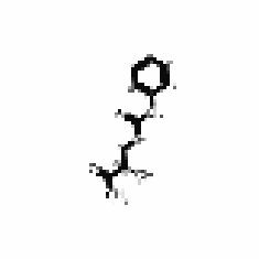 CC(=O)[C@H](O)CSC(=S)Oc1ccccc1